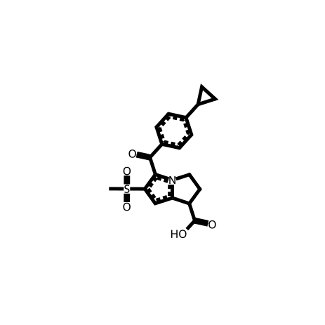 CS(=O)(=O)c1cc2n(c1C(=O)c1ccc(C3CC3)cc1)CCC2C(=O)O